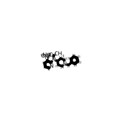 CC(C)N(c1ncccc1[N+](=O)[O-])C1CCN(Cc2ccccc2)CC1